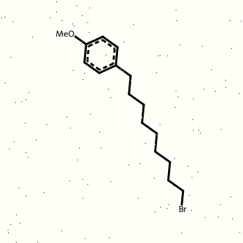 COc1ccc(CCCCCCCCCBr)cc1